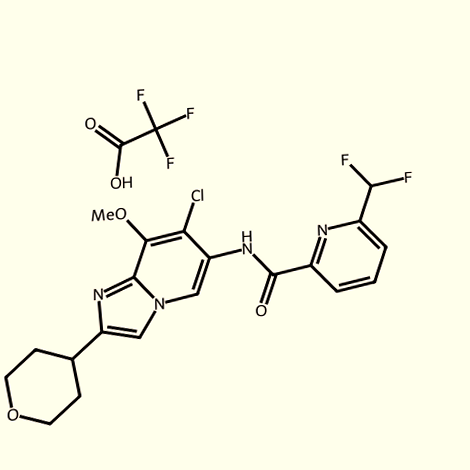 COc1c(Cl)c(NC(=O)c2cccc(C(F)F)n2)cn2cc(C3CCOCC3)nc12.O=C(O)C(F)(F)F